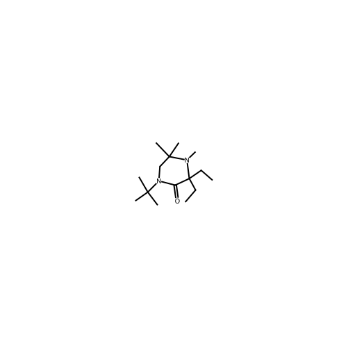 CCC1(CC)C(=O)N(C(C)(C)C)CC(C)(C)N1C